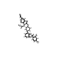 COC(C)Cn1c(CN2CCC(c3cccc4c3OC(C)(c3ccc(Cl)cc3F)O4)CC2)nc2cc(C#N)nnc21